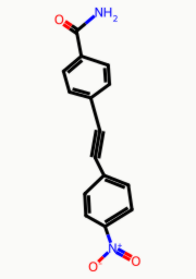 NC(=O)c1ccc(C#Cc2ccc([N+](=O)[O-])cc2)cc1